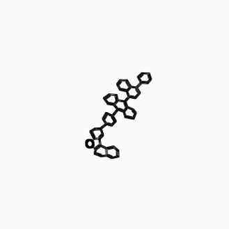 c1ccc(-c2ccc(-c3c4ccccc4c(-c4ccc(-c5ccc6oc7ccc8ccccc8c7c6c5)cc4)c4ccccc34)c3ccccc23)cc1